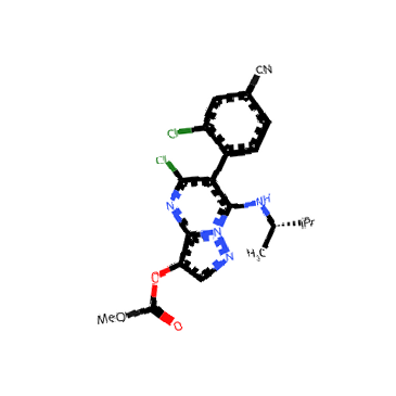 COC(=O)Oc1cnn2c(N[C@@H](C)C(C)C)c(-c3ccc(C#N)cc3Cl)c(Cl)nc12